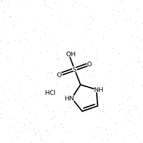 Cl.O=S(=O)(O)C1NC=CN1